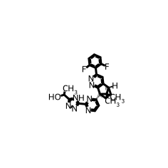 CC(O)c1nnc(-c2nccc([C@]34CC[C@@H](c5cc(-c6c(F)cccc6F)nnc53)C4(C)C)n2)[nH]1